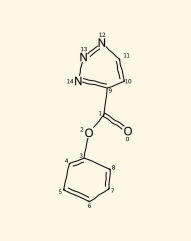 O=C(Oc1ccccc1)c1ccnnn1